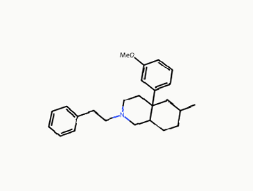 COc1cccc(C23CCN(CCc4ccccc4)CC2CCC(C)C3)c1